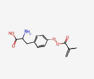 C=C(C)C(=O)OOc1ccc(CC(N)C(=O)O)cc1